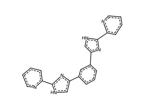 c1ccc(-c2nc(-c3cccc(-c4c[nH]c(-c5ccccn5)n4)c3)c[nH]2)nc1